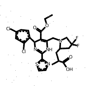 CCOC(=O)C1=C(CN2CC(F)(F)CC2CC(C)C(=O)O)NC(c2nccs2)=NC1c1ccc(Cl)cc1Cl